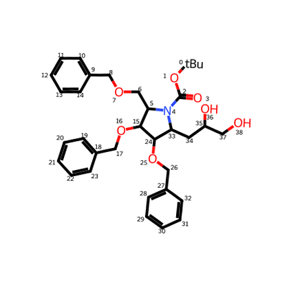 CC(C)(C)OC(=O)N1C(COCc2ccccc2)C(OCc2ccccc2)C(OCc2ccccc2)C1CC(O)CO